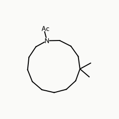 CC(=O)N1CCCCCCCCC(C)(C)CCC1